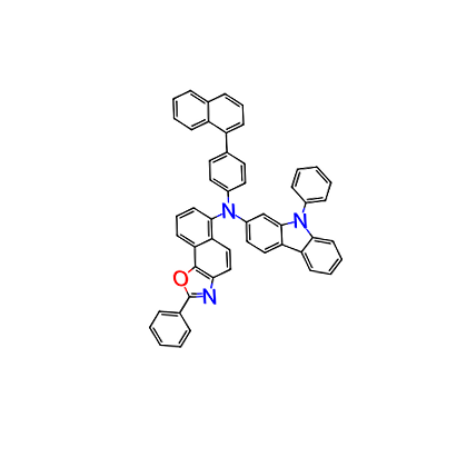 c1ccc(-c2nc3ccc4c(N(c5ccc(-c6cccc7ccccc67)cc5)c5ccc6c7ccccc7n(-c7ccccc7)c6c5)cccc4c3o2)cc1